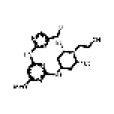 CC[C@@H]1C[C@@H](Nc2nc(Nc3ncc(CO)s3)cc(OC)n2)C[C@H](CC)N1CCC#N